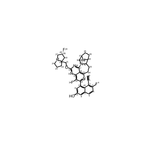 C#Cc1c(F)ccc2cc(O)cc(-c3nc4c5c(nc(OC[C@@]67CCCN6C[C@H](F)C7)nc5c3F)N3CC5CCC(N5)C3CC4)c12